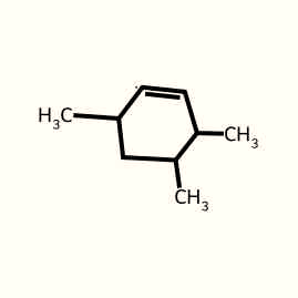 CC1[C]=CC(C)C(C)C1